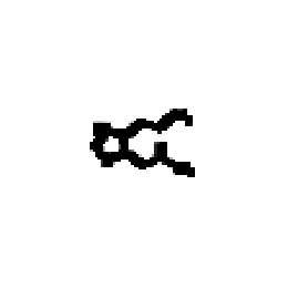 C=C/C=c1/[nH]cn/c1=C/NC